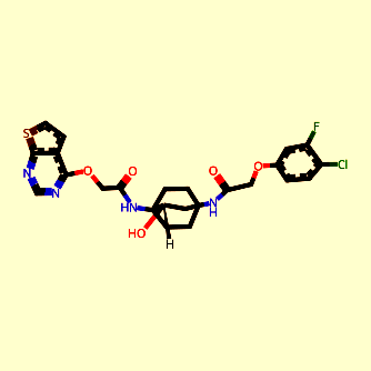 O=C(COc1ccc(Cl)c(F)c1)NC12CCC(NC(=O)COc3ncnc4sccc34)(CC1)[C@@H](O)C2